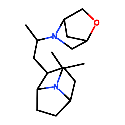 CC(CC1CCC2CCC1N2C(C)C)N1CC2CC1CO2